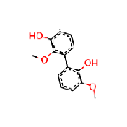 COc1cccc(-c2cc[c]c(O)c2OC)c1O